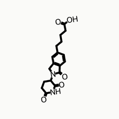 O=C(O)CCCCc1ccc2c(c1)CN(C1CCC(=O)NC1=O)C2=O